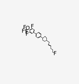 FCCCC=CCC1CCC(c2ccc(-c3cc(F)c(OC(F)(F)F)c(F)c3)cc2)CC1